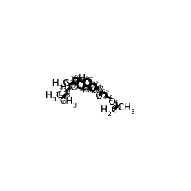 C=C(C)COCCCC(=O)O[C@H]1CC[C@@]2(C)C(=CC[C@H]3[C@@H]4CC[C@H]([C@H](C)CCCC(C)C)[C@@]4(C)CC[C@@H]32)C1